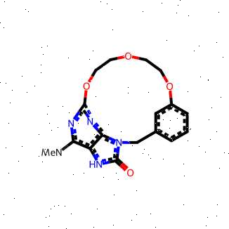 CNc1nc2nc3c1[nH]c(=O)n3Cc1cccc(c1)OCCOCCO2